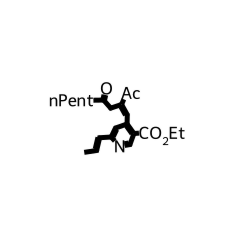 C/C=C/c1cc(/C=C(\CC(=O)CCCCC)C(C)=O)c(C(=O)OCC)cn1